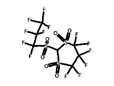 O=S(=O)(C1S(=O)(=O)C(F)(F)C(F)(F)C(F)(F)S1(=O)=O)C(F)(F)C(F)(F)C(F)(F)F